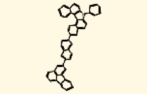 c1ccc(-n2c3ccc4ccccc4c3c3c4ccc(-c5ccc6cc(-c7cc8c9c(cccc9c7)-c7ccccc7-8)ccc6c5)cc4ccc32)cc1